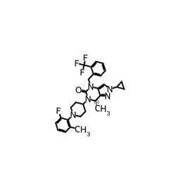 Cc1cccc(F)c1N1CCC(N2C(=O)N(Cc3ccccc3C(F)(F)F)c3cn(C4CC4)nc3[C@@H]2C)CC1